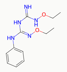 CCON=C(NC(=N)NOCC)Nc1ccccc1